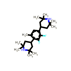 Cc1cc(C2CC(C)(C)NC(C)(C)C2)c(F)c(F)c1C1CC(C)(C)NC(C)(C)C1